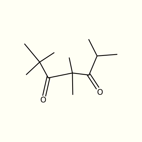 CC(C)C(=O)C(C)(C)C(=O)C(C)(C)C